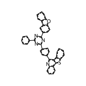 c1ccc(-c2nc(-c3ccc(-c4nc5ccccc5c5sc6ccccc6c45)cc3)nc(-c3ccc4oc5ccccc5c4c3)n2)cc1